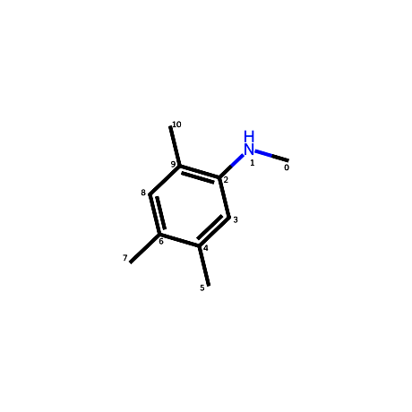 CNc1cc(C)c(C)cc1C